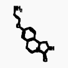 BCCOc1ccc2c(c1)CCN1C(=O)NCC21